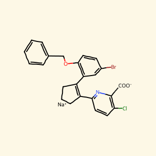 O=C([O-])c1nc(C2=C(c3cc(Br)ccc3OCc3ccccc3)CCC2)ccc1Cl.[Na+]